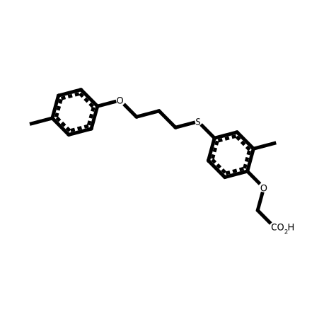 Cc1ccc(OCCCSc2ccc(OCC(=O)O)c(C)c2)cc1